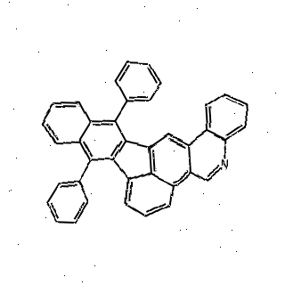 c1ccc(-c2c3c(c(-c4ccccc4)c4ccccc24)-c2cc4c5ccccc5ncc4c4cccc-3c24)cc1